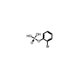 O=P(O)(O)Oc1ccccc1Br